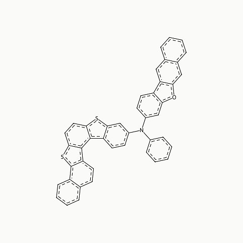 c1ccc(N(c2ccc3c(c2)oc2cc4ccccc4cc23)c2ccc3c(c2)sc2ccc4sc5c6ccccc6ccc5c4c23)cc1